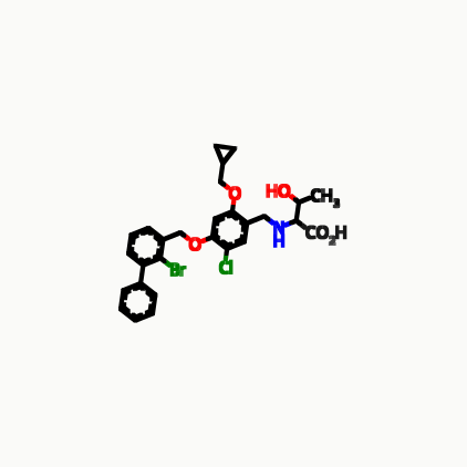 CC(O)C(NCc1cc(Cl)c(OCc2cccc(-c3ccccc3)c2Br)cc1OCC1CC1)C(=O)O